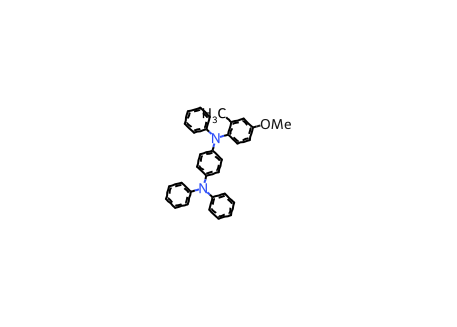 COc1ccc(N(c2ccccc2)c2ccc(N(c3ccccc3)c3ccccc3)cc2)c(C)c1